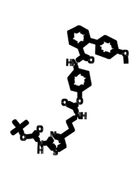 COc1ccc(-c2ccccc2C(=O)Nc2ccc(OC(=O)NCCc3csc(NC(=O)OC(C)(C)C)n3)cc2)cc1